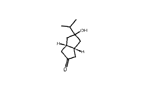 CC(C)C1(O)C[C@H]2CC(=O)C[C@H]2C1